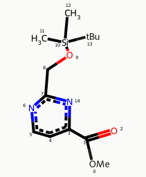 COC(=O)c1ccnc(CO[Si](C)(C)C(C)(C)C)n1